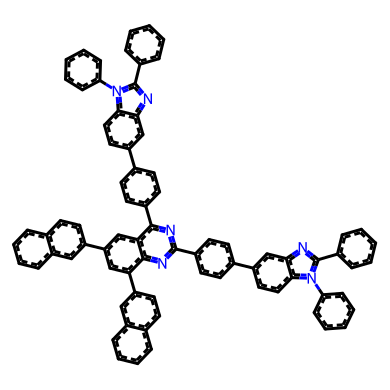 c1ccc(-c2nc3cc(-c4ccc(-c5nc(-c6ccc(-c7ccc8c(c7)nc(-c7ccccc7)n8-c7ccccc7)cc6)c6cc(-c7ccc8ccccc8c7)cc(-c7ccc8ccccc8c7)c6n5)cc4)ccc3n2-c2ccccc2)cc1